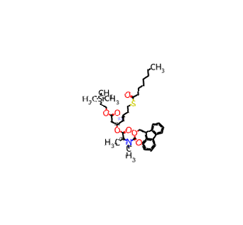 CCCCCCCC(=O)SCC/C=C/[C@H](CC(=O)OCC[Si](C)(C)C)OC(=O)[C@H](C)N(C)C(=O)OCC1c2ccccc2-c2ccccc21